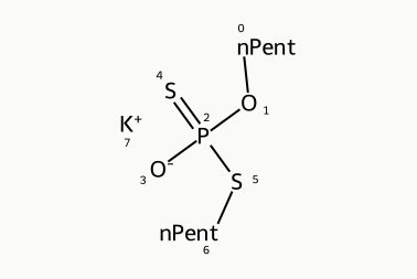 CCCCCOP([O-])(=S)SCCCCC.[K+]